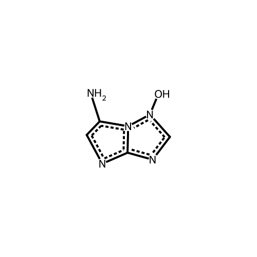 Nc1cnc2ncn(O)n12